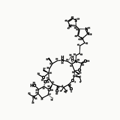 CC[C@H]1OC(=O)C(C)(F)C(=O)[C@@H](C)[C@@H](O[C@@H]2O[C@H](C)CC(N(C)C)C2O)[C@](C)(OC)C[C@@H](C)CN[C@H](C)[C@H]2N(CCCCn3cc(-c4nccs4)nn3)C(=O)O[C@]12C